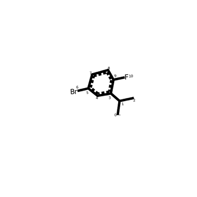 [CH2]C(C)c1cc(Br)ccc1F